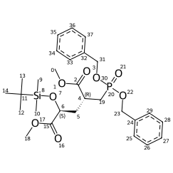 COC(=O)[C@@H](C[C@H](O[Si](C)(C)C(C)(C)C)C(=O)OC)CP(=O)(OCc1ccccc1)OCc1ccccc1